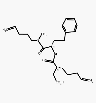 C=CCCC[C@H](CC(=O)O)C(=O)N[C@@H](CCc1ccccc1)C(=O)N(C)CCCC=C